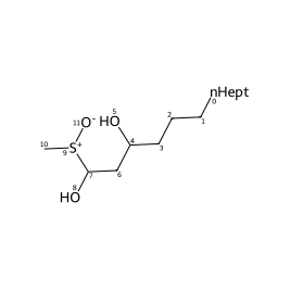 CCCCCCCCCCC(O)CC(O)[S+](C)[O-]